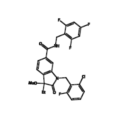 CCC1(OC)C(=O)N(Cc2c(F)cccc2Cl)c2cc(C(=O)NCc3c(F)cc(F)cc3F)ccc21